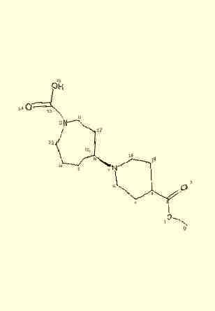 COC(=O)C1CCN([C@H]2CCCN(C(=O)O)CC2)CC1